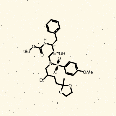 CCC(CCC1(C)OCCO1)CN(C[C@@H](O)[C@H](Cc1ccccc1)NC(=O)OC(C)(C)C)S(=O)(=O)c1ccc(OC)cc1